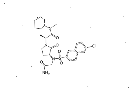 C[C@@H](C(=O)N(C)C1CCCCC1)N1CC[C@H](N(CC(N)=O)S(=O)(=O)c2ccc3cc(Cl)ccc3c2)C1=O